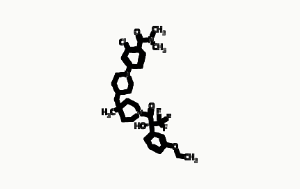 CCOc1cccc([C@@](O)(C(=O)N2CCC(C)(CC3CCN(c4ccc(C(=O)N(C)C)c(Cl)c4)CC3)CC2)C(F)(F)F)c1